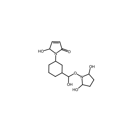 O=C1C=CC(O)N1C1CCCC(C(O)ON2C(O)CCC2O)C1